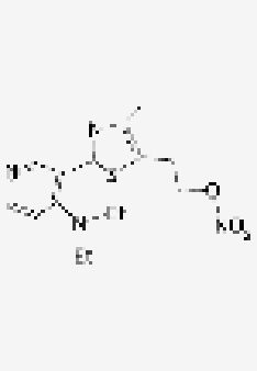 CCN(CC)c1ccncc1-c1nc(C)c(CCO[N+](=O)[O-])s1